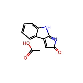 CC(=O)O.O=C1C=c2c([nH]c3ccccc23)=N1